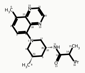 Cc1ccc(N2C[C@@H](C)C[C@@H](NC(=O)C(C)C(C)C)C2)c2nccnc12